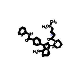 CN(C)C/C=C/C(=O)N1CCCC[C@H]1c1nc(-c2ccc(C(=O)Nc3cccnn3)cc2)c2c(N)nccn12